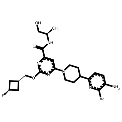 CC(=O)c1nc(C2CCN(c3cc(C(=O)N[C@H](C)CO)nc(OC[C@H]4C[C@H](F)C4)n3)CC2)ccc1N